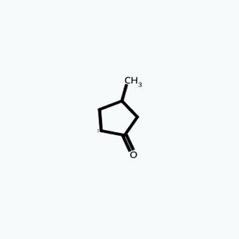 CC1C[C]C(=O)C1